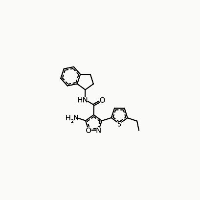 CCc1ccc(-c2noc(N)c2C(=O)NC2CCc3ccccc32)s1